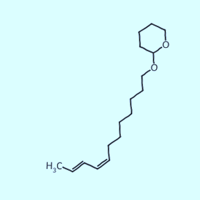 C/C=C/C=C\CCCCCCCOC1CCCCO1